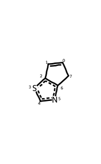 C1=Cc2scnc2C1